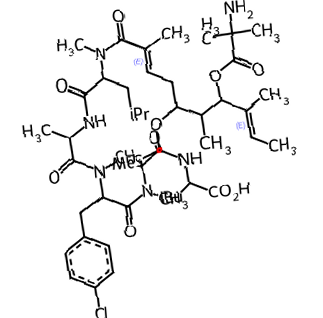 C/C=C(\C)C(OC(=O)C(C)(C)N)C(C)C(C/C=C(\C)C(=O)N(C)C(CC(C)C)C(=O)NC(C)C(=O)N(C)C(Cc1ccc(Cl)cc1)C(=O)N(C)CC(=O)NC(C(=O)O)C(C)CC)OCSC